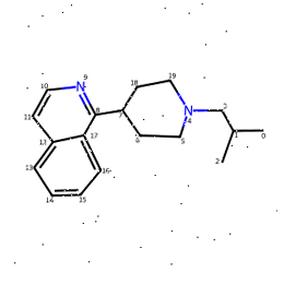 CC(C)CN1C[CH][C](c2nccc3ccccc23)CC1